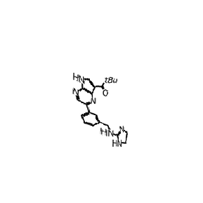 CC(C)(C)C(=O)c1c[nH]c2ncc(-c3cccc(CNC4=NCCN4)c3)nc12